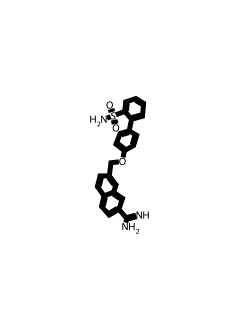 N=C(N)c1ccc2ccc(COc3ccc(-c4ccccc4S(N)(=O)=O)cc3)cc2c1